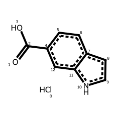 Cl.O=C(O)c1ccc2cc[nH]c2c1